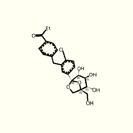 CCC(=O)c1ccc(Cc2cc([C@@]34OC[C@](CO)(O3)[C@@H](O)[C@H](O)[C@H]4O)ccc2Cl)cc1